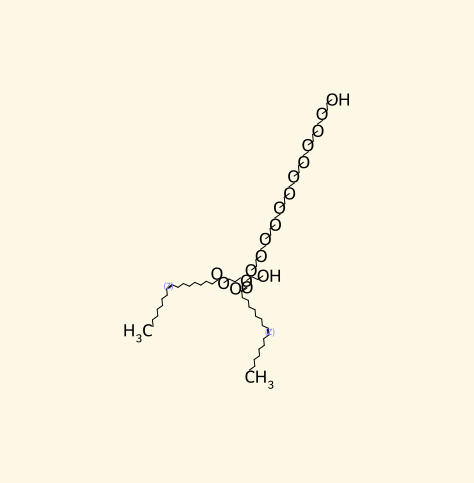 CCCCCCCC/C=C\CCCCCCCC(=O)OCC(COC(CO)OCCOCCOCCOCCOCCOCCOCCOCCOCCOCCOCCO)OC(=O)CCCCCCC/C=C\CCCCCCCC